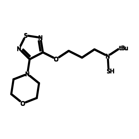 CC(C)(C)N(S)CCCOc1nsnc1N1CCOCC1